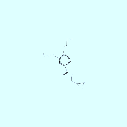 CCC(C)COc1ccc(C(=O)OCC2CO2)cc1OC